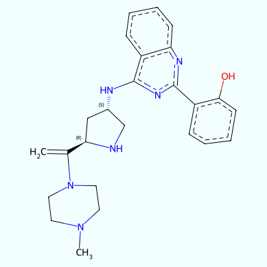 C=C([C@H]1C[C@H](Nc2nc(-c3ccccc3O)nc3ccccc23)CN1)N1CCN(C)CC1